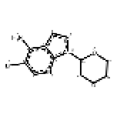 Nc1c(Br)cnc2c1cnn2C1CCCCO1